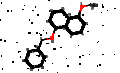 CCCCOc1cccc2c(OCc3ccccc3)cccc12